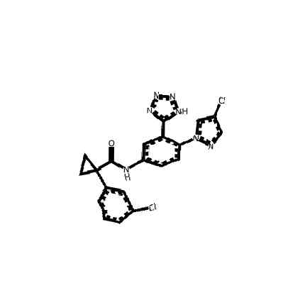 O=C(Nc1ccc(-n2cc(Cl)cn2)c(-c2nnn[nH]2)c1)C1(c2cccc(Cl)c2)CC1